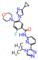 CC(C)n1cnnc1-c1cccc(NC(=O)c2cc(-n3cnc(C4CC4)c3)c(N3CCOCC3)cc2F)n1